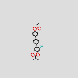 C=CC(=O)Oc1ccc(-c2ccc(-c3ccc(OC(=O)C(=C)C)cc3F)cc2)cc1